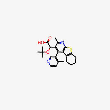 Cc1ccncc1-c1c(C(OC(C)(C)C)C(=O)O)c(C)nc2sc3c(c12)CCCC3